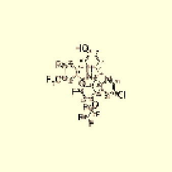 O=C(NC(Cc1ccc(O)cc1)(c1cc(F)cc(OC(F)(F)C(F)F)c1)c1ccc(Cl)cn1)c1ccc(F)c(C(F)(F)F)c1